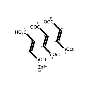 CCCCCCCCC=CC(=O)O.CCCCCCCCC=CC(=O)[O-].CCCCCCCCC=CC(=O)[O-].[Zn+2]